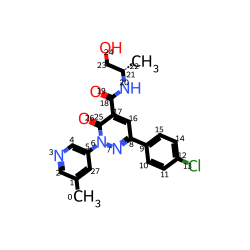 Cc1cncc(-n2nc(-c3ccc(Cl)cc3)cc(C(=O)N[C@@H](C)CO)c2=O)c1